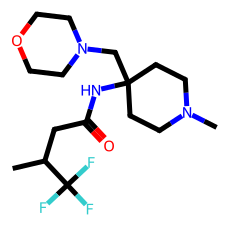 CC(CC(=O)NC1(CN2CCOCC2)CCN(C)CC1)C(F)(F)F